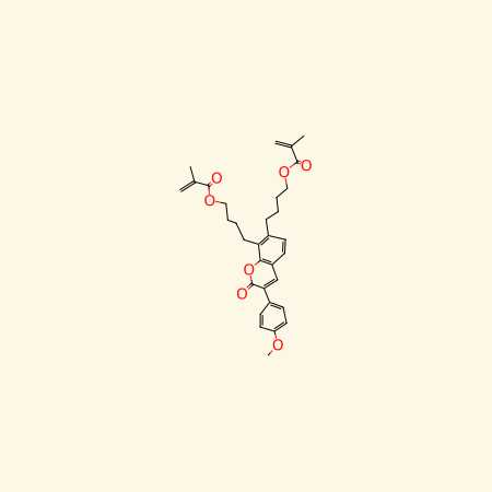 C=C(C)C(=O)OCCCCc1ccc2cc(-c3ccc(OC)cc3)c(=O)oc2c1CCCCOC(=O)C(=C)C